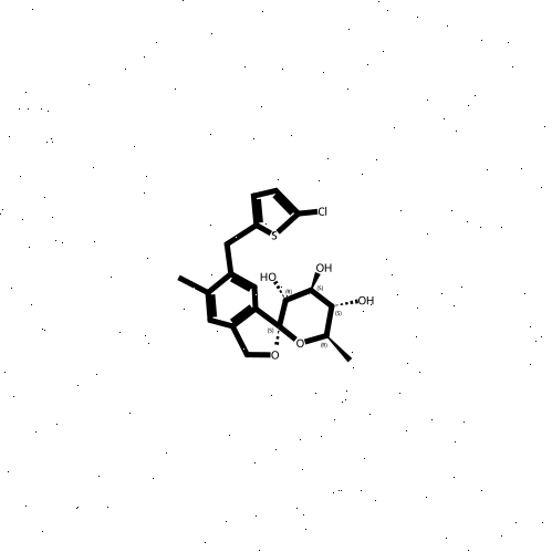 Cc1cc2c(cc1Cc1ccc(Cl)s1)[C@]1(OC2)O[C@H](C)[C@@H](O)[C@H](O)[C@H]1O